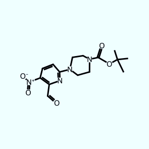 CC(C)(C)OC(=O)N1CCN(c2ccc([N+](=O)[O-])c(C=O)n2)CC1